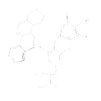 NC(Cc1cc(I)c(Oc2cc(I)c(O)c(I)c2)c(I)c1)C(=O)O.c1ccc2c(c1)ccc1c3c(ccc12)CCCC3